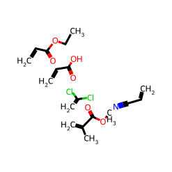 C=C(C)C(=O)OC.C=C(Cl)Cl.C=CC#N.C=CC(=O)O.C=CC(=O)OCC